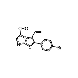 C=Cc1c(-c2ccc(Br)cc2)sc2ncc(C=O)n12